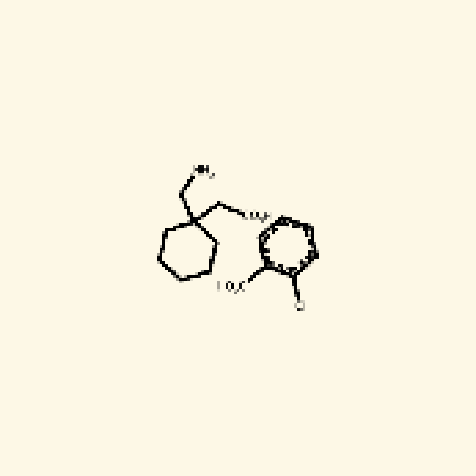 NCC1(CC(=O)O)CCCCC1.O=C(O)c1ccccc1O